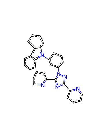 c1ccc(-c2nc(-c3ccccn3)n(-c3cccc(-n4c5ccccc5c5ccccc54)c3)n2)nc1